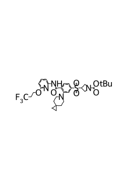 CC(C)(C)OC(=O)N1CC(S(=O)(=O)c2ccc(C(=O)Nc3cccc(OCCC(F)(F)F)n3)c(N3CCC4(CC3)CC4)c2)C1